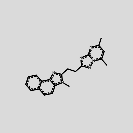 Cc1cc(C)n2nc(CCc3nc4c5ccccc5ccc4n3C)nc2n1